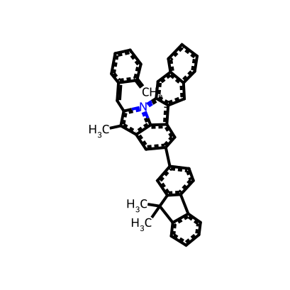 C=c1cccc/c1=C/c1c(C)c2cc(-c3ccc4c(c3)C(C)(C)c3ccccc3-4)cc3c4cc5ccccc5cc4n1c23